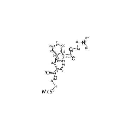 CSCCOC(=O)c1ccc2c(C(=O)OCCN(C)C)c3ccccc3n2c1